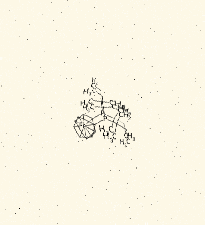 CCC(C)(C)P(C(C)(C)CC)[C]12[CH]3[CH]4[CH]5[CH]1[Fe]45321678[CH]2[CH]1[CH]6[C]7(P(C(C)(C)CC)C(C)(C)CC)[CH]28